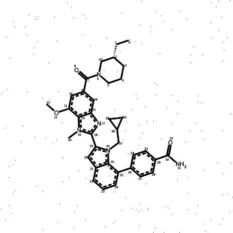 CC[C@@H]1CCCN(C(=O)c2cc(OC)c3c(c2)nc(-c2cc4cccc(-c5ccc(C(N)=O)cc5)c4n2CC2CC2)n3C)C1